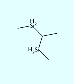 C[SiH2]C(C)[SiH2]C